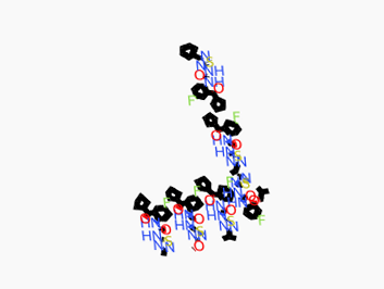 CC(C)COc1cc(F)ccc1NC(=O)Nc1ncns1.CC(C)c1nsc(NC(=O)Nc2ccc(F)cc2C(=O)C2CCCC2)n1.CCc1nsc(NC(=O)Nc2ccc(F)cc2C(=O)C2CCCC2)n1.COc1nsc(NC(=O)Nc2ccc(F)cc2C(=O)C2CCCC2)n1.Cc1nsc(NC(=O)Nc2ccc(F)cc2C(=O)C2CCCC2)n1.O=C(Nc1nc(-c2ccccc2)ns1)Nc1ccc(F)cc1C(=O)C1CCCC1